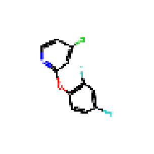 Fc1ccc(Oc2cc(Cl)ccn2)c(F)c1